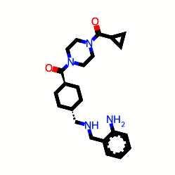 Nc1ccccc1CNC[C@H]1CC[C@H](C(=O)N2CCN(C(=O)C3CC3)CC2)CC1